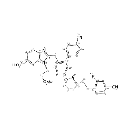 COCCn1c(Cc2ccc(-c3cccc(OCc4ccc(C#N)cc4F)n3)cc2-c2ccc(C#N)cc2)nc2ccc(C(=O)O)cc21